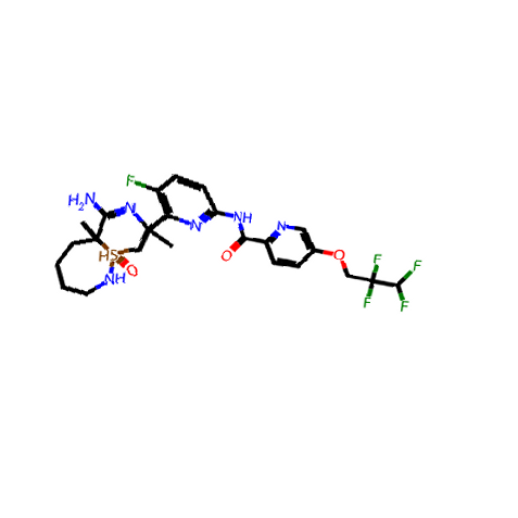 CC1(c2nc(NC(=O)c3ccc(OCC(F)(F)C(F)F)cn3)ccc2F)C[SH]2(=O)NCCCCC2(C)C(N)=N1